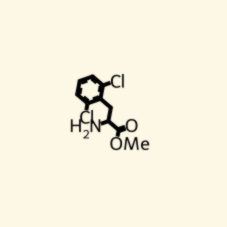 COC(=O)C(N)Cc1c(Cl)cccc1Cl